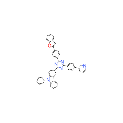 c1ccc(-n2c3ccccc3c3cc(-c4nc(-c5ccc(-c6cccnc6)cc5)nc(-c5ccc(-c6cc7ccccc7o6)cc5)n4)ccc32)cc1